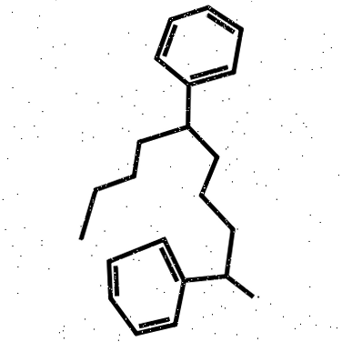 [CH2]C(CCCC(CCCC)c1ccccc1)c1ccccc1